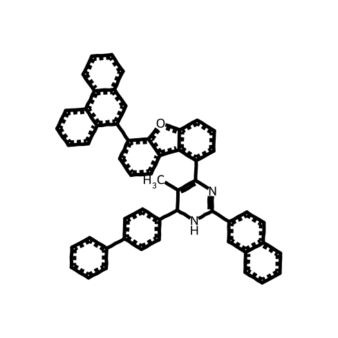 CC1=C(c2cccc3oc4c(-c5cc6ccccc6c6ccccc56)cccc4c23)N=C(c2ccc3ccccc3c2)NC1c1ccc(-c2ccccc2)cc1